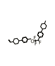 C=CC1CCC(c2ccc(COC(F)(F)C(F)c3ccc(C4CCC(C)CC4)cc3)cc2)CC1